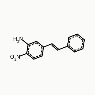 Nc1cc(/C=C/c2ccccc2)ccc1[N+](=O)[O-]